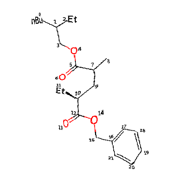 CCCCC(CC)COC(=O)C(C)C[C@H](CC)C(=O)OCc1ccccc1